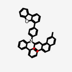 Cc1ccc2ccc3ccc(N(c4ccc(-c5cccc6c5oc5ccccc56)cc4)c4ccccc4-c4ccccc4)cc3c2c1